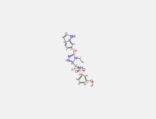 CCn1c(Oc2ccc3cc[nH]c3c2)nnc1[C@@H](C)NS(=O)(=O)c1cccc(OC)c1